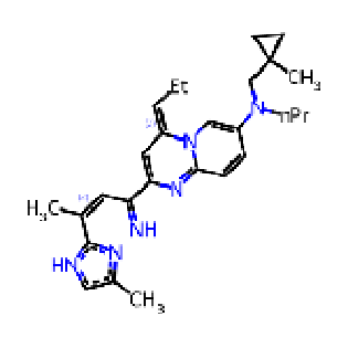 CC/C=C1/C=C(C(=N)/C=C(/C)c2nc(C)c[nH]2)N=C2C=CC(N(CCC)CC3(C)CC3)=CN21